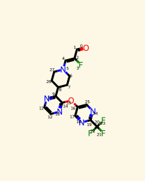 O=CC(F)=CN1CCC(c2nccnc2Oc2cnc(C(F)(F)F)nc2)CC1